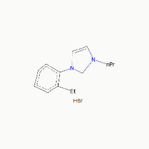 Br.CCCN1C=CN(c2ccccc2CC)C1